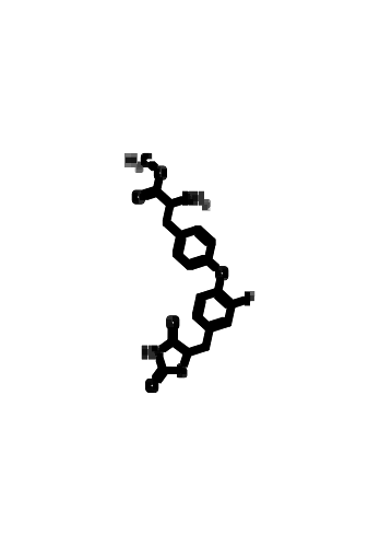 COC(=O)C(N)Cc1ccc(Oc2ccc(CC3SC(=O)NC3=O)cc2F)cc1